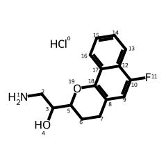 Cl.NCC(O)C1CCc2cc(F)c3ccccc3c2O1